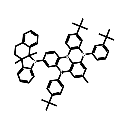 Cc1cc2c3c(c1)N(c1cccc(C(C)(C)C)c1)c1cc(C(C)(C)C)ccc1B3c1ccc(N3c4ccccc4C4(C)CCc5ccccc5C34C)cc1N2c1ccc(C(C)(C)C)cc1